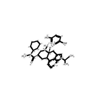 CC(C)n1cc2c3c(cccc31)C1C[C@@H](C(=O)N(C)C3CCCCC3)CN(C)[C@@H]1C2.O=C(O)/C=C\C(=O)O